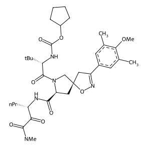 CCC[C@H](NC(=O)[C@@H]1C[C@]2(CC(c3cc(C)c(OC)c(C)c3)=NO2)CN1C(=O)[C@@H](NC(=O)OC1CCCC1)C(C)(C)C)C(=O)C(=O)NC